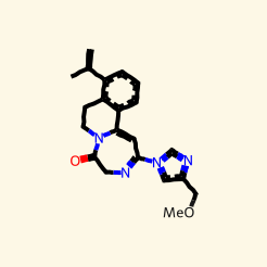 C=C(C)c1cccc2c1CCN1C(=O)CN=C(n3cnc(COC)c3)C=C21